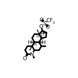 CC1CC2N(C)C(=O)CC[C@]2(C)[C@@H]2CC[C@]3(C)C(OS(=O)(=O)C(F)(F)F)=CC[C@H]3[C@H]12